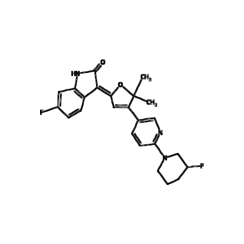 CC1(C)OC(=C2C(=O)Nc3cc(F)ccc32)C=C1c1ccc(N2CCCC(F)C2)nc1